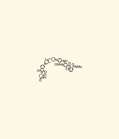 CNC(=O)c1ccccc1Nc1cc(Nc2ccc(N3CCC(CN4C(C)CN(c5ccc6c(c5)C(=O)N(C5CCC(=O)NC5=O)C6=O)CC4C)CC3)cc2OC)ncc1C(F)(F)F